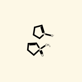 CP1(=O)C=CCC1.[O-][P+]1=CCCC1